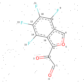 O=CC(=O)c1occ2c(F)c(F)c(F)c(F)c12